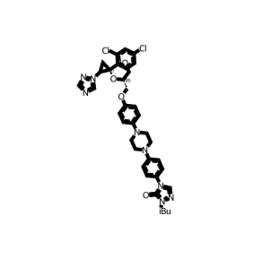 CCC(C)n1ncn(-c2ccc(N3CCN(c4ccc(OC[C@@H](CO)O[C@@]5(c6ccc(Cl)cc6Cl)CC5n5cncn5)cc4)CC3)cc2)c1=O